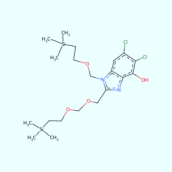 C[Si](C)(C)CCOCOCc1nc2c(O)c(Cl)c(Cl)cc2n1COCC[Si](C)(C)C